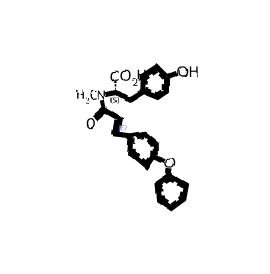 CN(C(=O)/C=C/c1ccc(Oc2ccccc2)cc1)[C@@H](Cc1ccc(O)cc1)C(=O)O